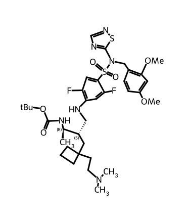 COc1ccc(CN(c2ncns2)S(=O)(=O)c2cc(F)c(NC[C@H](CC3(CCN(C)C)CCC3)[C@@H](C)NC(=O)OC(C)(C)C)cc2F)c(OC)c1